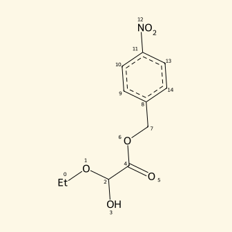 CCOC(O)C(=O)OCc1ccc([N+](=O)[O-])cc1